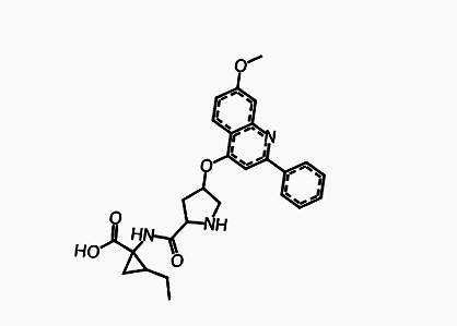 CCC1CC1(NC(=O)C1CC(Oc2cc(-c3ccccc3)nc3cc(OC)ccc23)CN1)C(=O)O